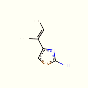 CCC/C=C(\C(=O)OCC)c1csc(N)n1